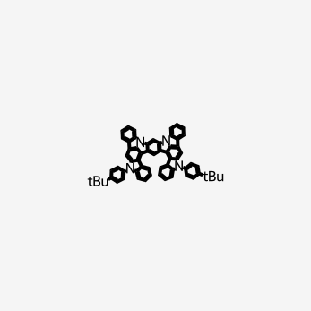 CC(C)(C)c1ccc(-n2c3ccccc3c3c4c5cc6c7c8c9ccccc9n(-c9ccc(C(C)(C)C)cc9)c8cc8c9ccccc9n(c6cc5n5c6ccccc6c(cc32)c45)c87)cc1